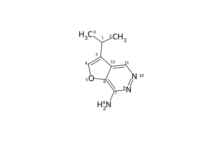 CC(C)c1coc2c(N)nncc12